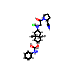 N#C[C@@H]1CCCN1C(=O)CN(Cl)C1C[C@@H]2C[C@H](OC(=O)Nc3ccccc3)C[C@@H]2C1